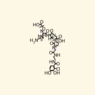 CC(C)(O/N=C(\C(=O)N[C@@H]1C(=O)N2C[C@@](C(=O)O)(N3CCN(/N=C/C(=O)NCCNC(=O)c4ccc(O)c(O)c4Cl)C3=O)S[C@H]12)c1csc(N)n1)C(=O)O